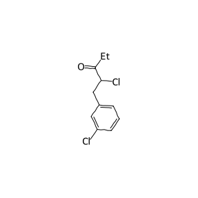 CCC(=O)C(Cl)Cc1cccc(Cl)c1